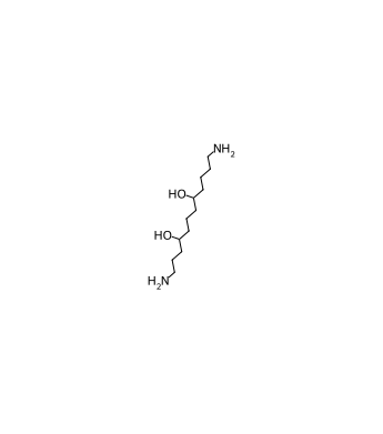 NCCCCC(O)CCCC(O)CCCN